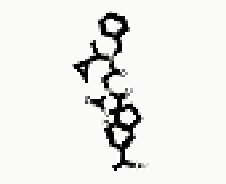 CC(O)c1ccc2c(c1)CCC21NC(=O)N(CC(=O)N(Cc2ccccc2)C(C)C2CC2)C1=O